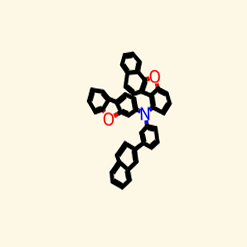 c1cc(-c2ccc3ccccc3c2)cc(N(c2ccc3c(c2)oc2ccccc23)c2cccc3oc4c5ccccc5ccc4c23)c1